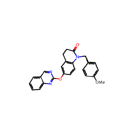 COc1ccc(CN2C(=O)CCc3cc(Oc4ncc5ccccc5n4)ccc32)cc1